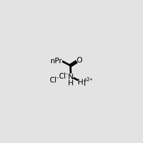 CCCC(=O)[NH][Hf+2].[Cl-].[Cl-]